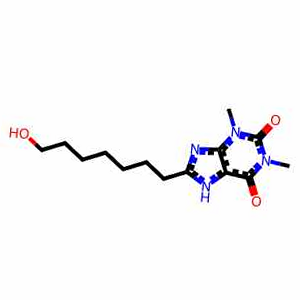 Cn1c(=O)c2[nH]c(CCCCCCCO)nc2n(C)c1=O